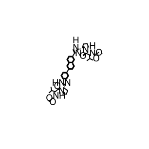 COC(=O)N[C@H](C(=O)N1CCC[C@H]1c1nc(-c2ccc3cc(-c4ccc5[nH]c([C@@H]6CCCN6C(=O)[C@@H](NC6OCO6)C(C)C)nc5c4)ccc3c2)c[nH]1)C(C)C